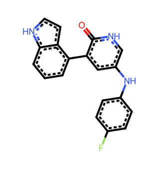 O=c1[nH]cc(Nc2ccc(F)cc2)cc1-c1cccc2[nH]ccc12